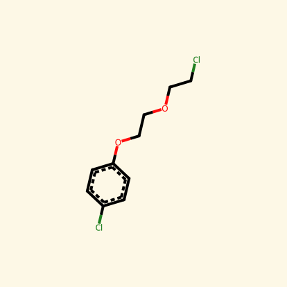 ClCCOCCOc1ccc(Cl)cc1